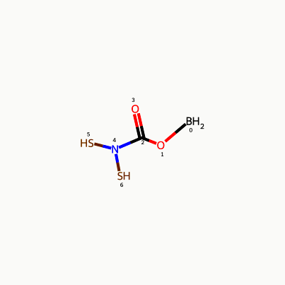 BOC(=O)N(S)S